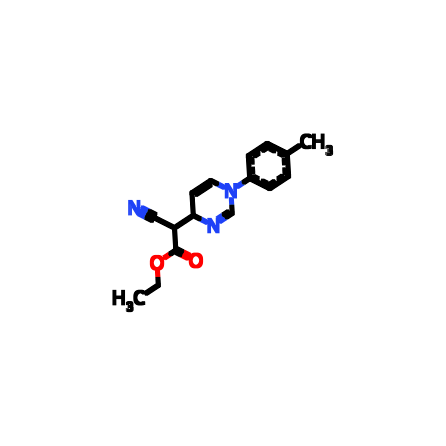 CCOC(=O)C(C#N)C1C=CN(c2ccc(C)cc2)C=N1